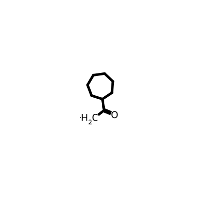 [CH2]C(=O)C1CCCCCC1